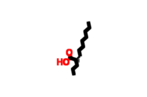 CCCCCCCC[C@H](CCC)C(=O)O